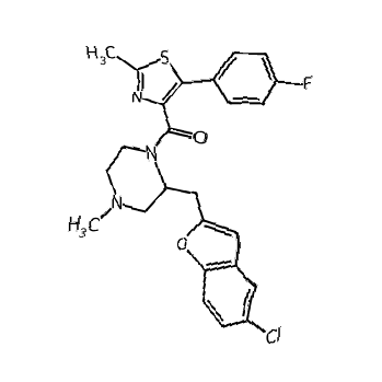 Cc1nc(C(=O)N2CCN(C)CC2Cc2cc3cc(Cl)ccc3o2)c(-c2ccc(F)cc2)s1